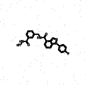 CCCNC(=O)c1cccc(CNC(=O)c2cccc3c2cnn3-c2ccc(F)cc2)c1